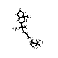 CCC1(OC(=O)C(C)(C)CCCOC(=O)C(C)(C)CC)CCCC1